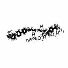 CCCNC(=O)O.Cc1ncsc1-c1ccc([C@H](CC(=O)NCCOCCCCOc2ccc(C3CCN(C4=Nn5c(nnc5C(F)(F)F)CC4)CC3)cc2)N(C(=O)O)C(C)(C)C)cc1